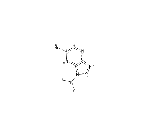 CC(C)n1cnc2ncc(Br)nc21